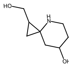 OCC1CC12CC(O)CCN2